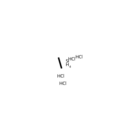 CC.Cl.Cl.Cl.Cl.[SiH4]